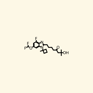 CC(C)(O)CC(=O)CCCCc1nc2c(F)cc(OC(F)F)cc2n1C1(C)CCC1